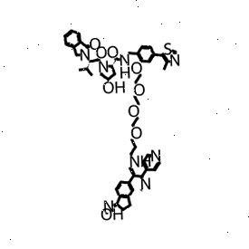 C/N=C(\C(=C/NCCCOCCOCCOCCOc1cc(-c2scnc2C)ccc1CNC(=O)[C@@H]1C[C@@H](O)CN1C(=O)[C@H](C(C)C)N1Cc2ccccc2C1=O)c1ccc2c(c1)CC/C2=N\O)c1ccncc1